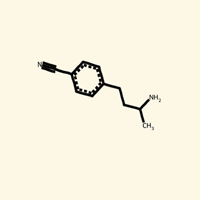 CC(N)CCc1ccc(C#N)cc1